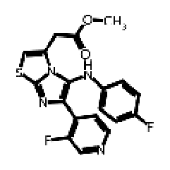 COC(=O)Cc1csc2nc(-c3ccncc3F)c(Nc3ccc(F)cc3)n12